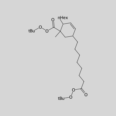 CCCCCCC1C=CC(CCCCCCCC(=O)OOC(C)(C)C)CC1(C)C(=O)OOC(C)(C)C